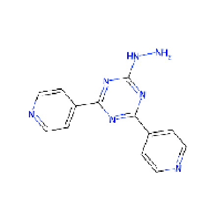 NNc1nc(-c2ccncc2)nc(-c2ccncc2)n1